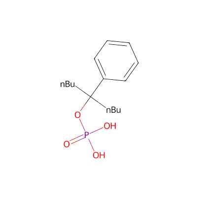 CCCCC(CCCC)(OP(=O)(O)O)c1ccccc1